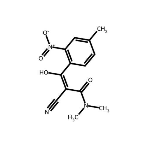 Cc1ccc(C(O)=C(C#N)C(=O)N(C)C)c([N+](=O)[O-])c1